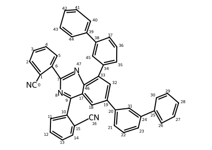 N#Cc1ccccc1-c1nc(-c2ccccc2C#N)c2cc(-c3cccc(-c4ccccc4)c3)cc(-c3cccc(-c4ccccc4)c3)c2n1